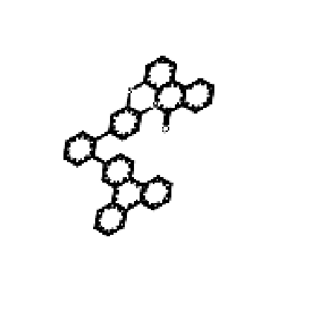 O=c1c2ccccc2c2cccc3c2n1-c1ccc(-c2ccccc2-c2ccc4c5ccccc5c5ccccc5c4c2)cc1S3